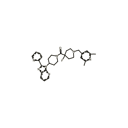 Cc1cc(CN2CCC(F)(C(=O)N3CCC(n4c(-c5ccccn5)nc5cccnc54)CC3)CC2)cc(C)n1